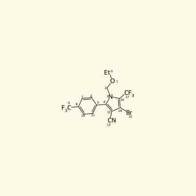 CCOCn1c(-c2ccc(C(F)(F)F)cc2)c(C#N)c(Br)c1C(F)(F)F